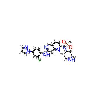 CS(=O)(=O)N(c1ccc2cnc(Nc3ccc(-n4cccn4)cc3F)cc2n1)C1CCNCC1